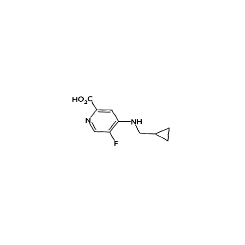 O=C(O)c1cc(NCC2CC2)c(F)cn1